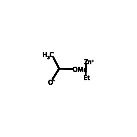 COC(C)[O-].C[CH2][Zn+]